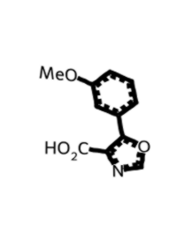 COc1cccc(-c2ocnc2C(=O)O)c1